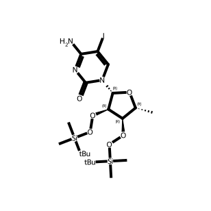 C[C@H]1O[C@@H](n2cc(I)c(N)nc2=O)[C@H](OO[Si](C)(C)C(C)(C)C)[C@@H]1OO[Si](C)(C)C(C)(C)C